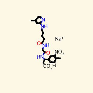 Cc1ccnc(NCCCCC(=O)NCC(=O)NC(CC(=O)O)c2ccc(C)c([N+](=O)[O-])c2)c1.[Na+]